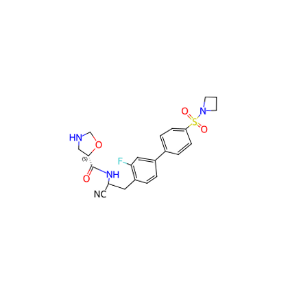 N#CC(Cc1ccc(-c2ccc(S(=O)(=O)N3CCC3)cc2)cc1F)NC(=O)[C@@H]1CNCO1